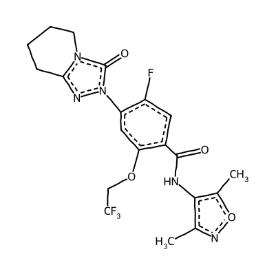 Cc1noc(C)c1NC(=O)c1cc(F)c(-n2nc3n(c2=O)CCCC3)cc1OCC(F)(F)F